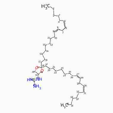 CCCCC/C=C\C/C=C\CCCCCCCCC1(CCCCCCCC/C=C\C/C=C\CCCCC)OCC(NC(=N)N)O1